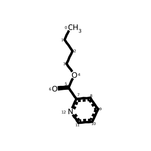 CCCCOC(=O)c1c[c]ccn1